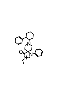 CCN1CN(c2ccccc2)C2(CCN(C3CCCCC3c3ccccc3)CC2)C1=O